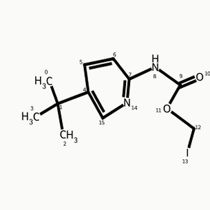 CC(C)(C)c1ccc(NC(=O)OCI)nc1